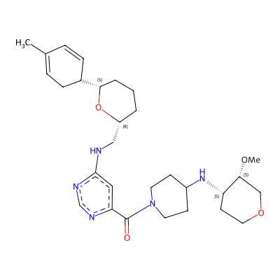 CO[C@@H]1COCC[C@@H]1NC1CCN(C(=O)c2cc(NC[C@H]3CCC[C@@H](C4C=CC(C)=CC4)O3)ncn2)CC1